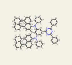 c1ccc(-c2nc(-c3ccccc3)nc(-c3cc4c5c(c3)N(c3ccccc3)c3c(cc6c7cccc8cccc(c9cccc3c96)c87)B5c3cc5c6cccc7cccc(c8cccc(c3N4c3ccccc3)c85)c76)n2)cc1